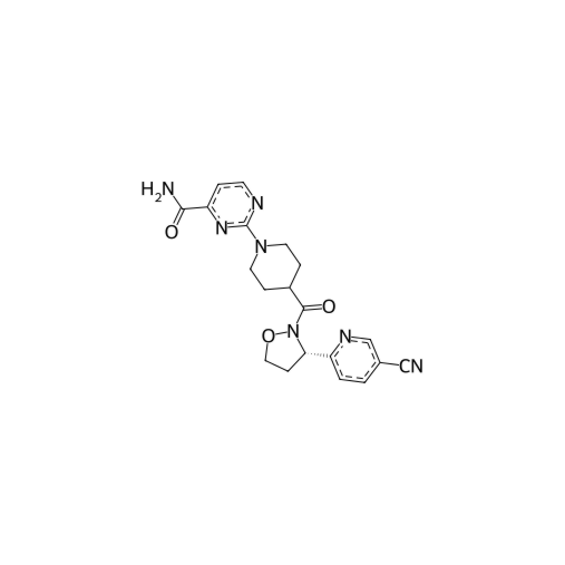 N#Cc1ccc([C@@H]2CCON2C(=O)C2CCN(c3nccc(C(N)=O)n3)CC2)nc1